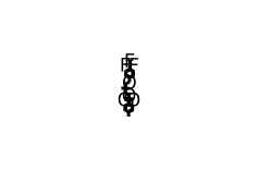 Cc1ccc(S(=O)(=O)OCC(C)(C)COc2ccc(C(F)(F)F)cc2)cc1